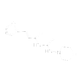 O=C(/C=C/c1ccco1)NC(=S)NN1CCOCC1